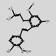 CCOc1cc(O)cc(/C=C/c2ccc(O)c(NC=O)c2)c1CC=C(C)C